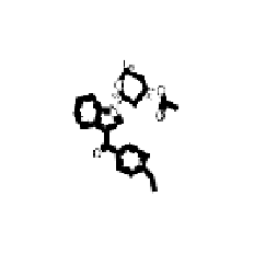 CCc1ccc(C(=O)c2cn([C@H]3C[C@@H](OC(C)=O)C[C@@H](C)O3)c3ccccc23)cc1